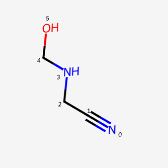 N#CCNCO